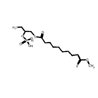 CCC(COC(=O)CCCCCCCCC(=O)OC)OP(=O)(O)O